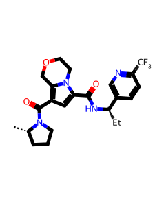 CC[C@@H](NC(=O)c1cc(C(=O)N2CCC[C@@H]2C)c2n1CCOC2)c1ccc(C(F)(F)F)nc1